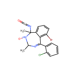 CC1N=C(c2ccccc2Cl)c2c(Br)[c]ccc2C(C)(N=C=O)[NH+]1[O-]